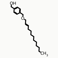 CCCCCCCCCCC=CCOCc1ccc(CO)cc1